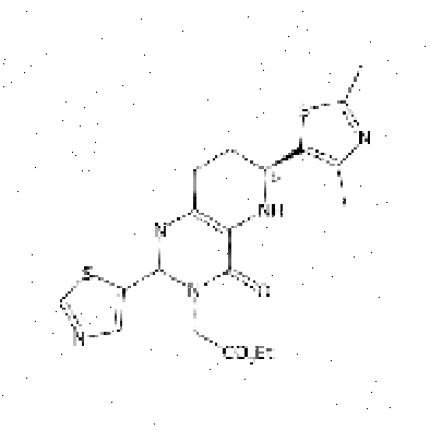 CCOC(=O)Cn1c(-c2cncs2)nc2c(c1=O)N[C@H](c1sc(C)nc1C)CC2